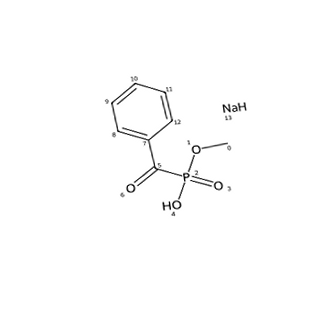 COP(=O)(O)C(=O)c1ccccc1.[NaH]